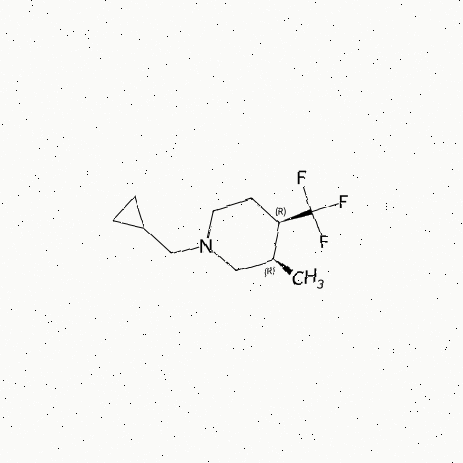 C[C@H]1CN(CC2CC2)CC[C@H]1C(F)(F)F